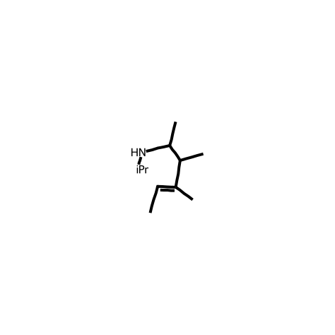 CC=C(C)C(C)C(C)NC(C)C